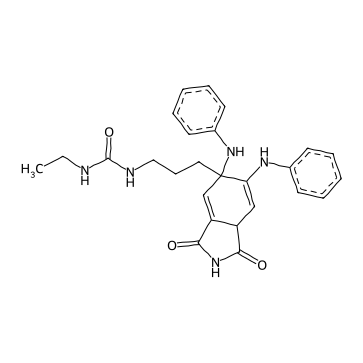 CCNC(=O)NCCCC1(Nc2ccccc2)C=C2C(=O)NC(=O)C2C=C1Nc1ccccc1